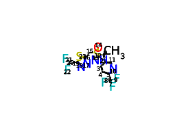 CC(c1ccc(C(F)(F)F)nc1)S(=N)(=O)Cc1nnc(C(F)F)s1